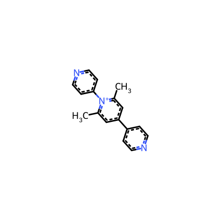 Cc1cc(-c2ccncc2)cc(C)[n+]1-c1ccncc1